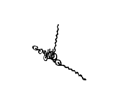 CCCCCCCCCCCCCCOCC(COC(=O)NCCOCCOC)OCCCCCCCCCCCCCC